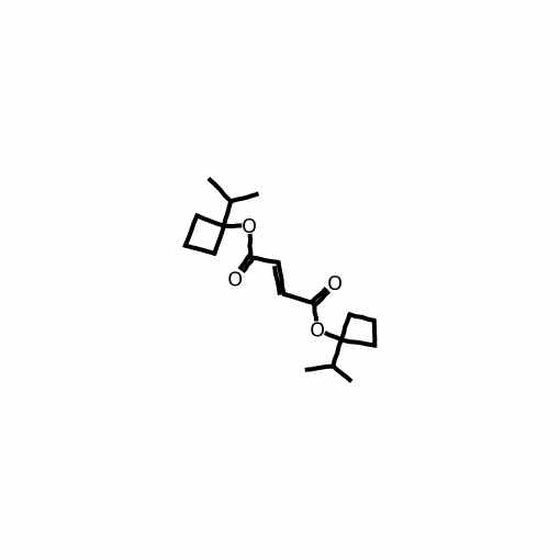 CC(C)C1(OC(=O)/C=C/C(=O)OC2(C(C)C)CCC2)CCC1